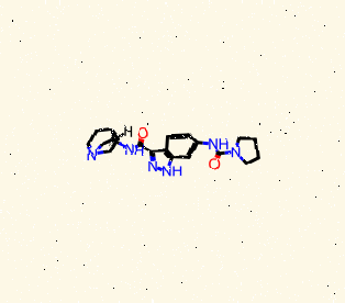 O=C(N[C@@H]1CN2CCC1CC2)c1n[nH]c2cc(NC(=O)N3CCCC3)ccc12